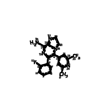 Cc1cc(-c2c(-c3ccccc3F)nc(N)c3nccn23)cc(C(F)(F)F)n1